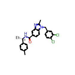 CC[C@H](NC(=O)c1ccc2c(c1)nc(C)n2Cc1ccc(Cl)c(Cl)c1)c1ccc(C)cc1